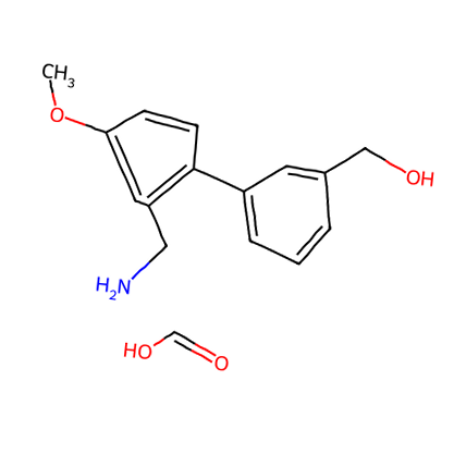 COc1ccc(-c2cccc(CO)c2)c(CN)c1.O=CO